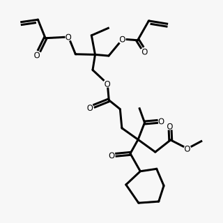 C=CC(=O)OCC(CC)(COC(=O)C=C)COC(=O)CCC(CC(=O)OC)(C(C)=O)C(=O)C1CCCCC1